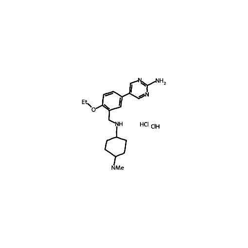 CCOc1ccc(-c2cnc(N)nc2)cc1CNC1CCC(NC)CC1.Cl.Cl